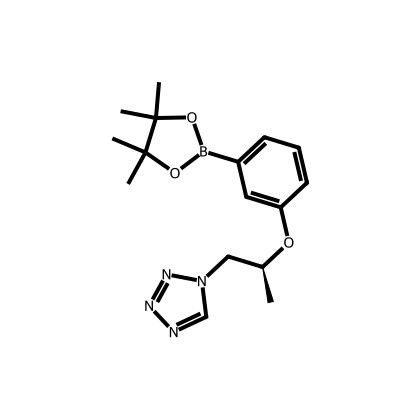 C[C@@H](Cn1cnnn1)Oc1cccc(B2OC(C)(C)C(C)(C)O2)c1